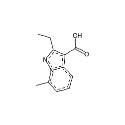 CCc1nn2c(C)cccc2c1C(=O)O